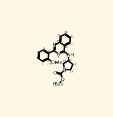 COc1ccccc1-c1nc(N[C@H]2CCN(C(=O)OC(C)(C)C)C2)c2ccccc2n1